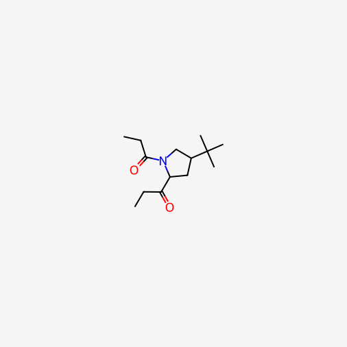 CCC(=O)C1CC(C(C)(C)C)CN1C(=O)CC